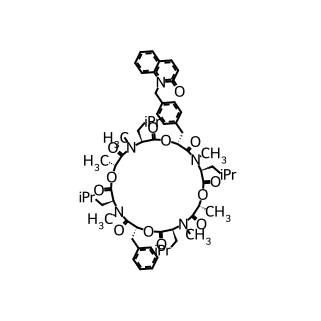 CC(C)C[C@H]1C(=O)O[C@H](Cc2ccc(Cn3c(=O)ccc4ccccc43)cc2)C(=O)N(C)[C@@H](CC(C)C)C(=O)O[C@H](C)C(=O)N(C)[C@@H](CC(C)C)C(=O)O[C@H](Cc2ccccc2)C(=O)N(C)[C@@H](CC(C)C)C(=O)O[C@H](C)C(=O)N1C